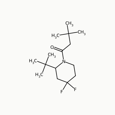 CC(C)(C)CC(=O)N1CCC(F)(F)CC1C(C)(C)C